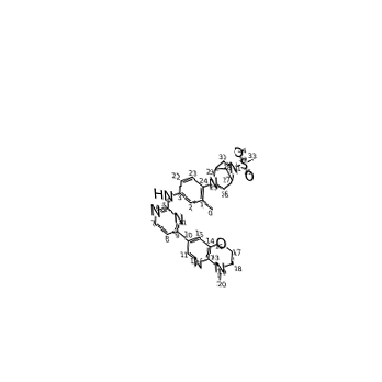 Cc1cc(Nc2nccc(-c3cnc4c(c3)OCCN4C)n2)ccc1N1CC2CC1CN2S(C)(=O)=O